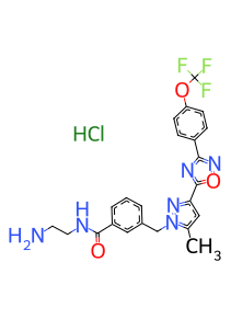 Cc1cc(-c2nc(-c3ccc(OC(F)(F)F)cc3)no2)nn1Cc1cccc(C(=O)NCCN)c1.Cl